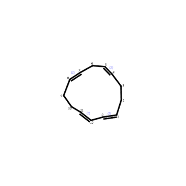 C1=C\CC/C=C\C/C=C\CC/C=C/1